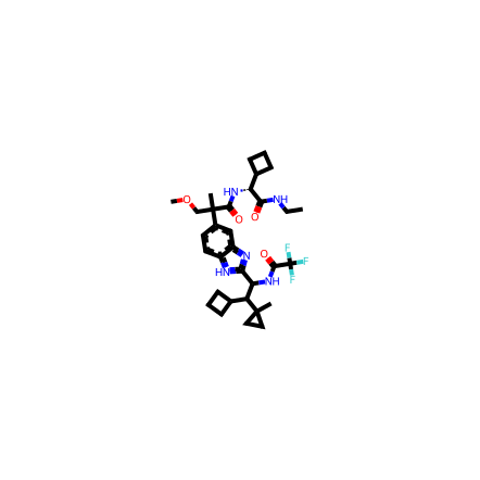 CCNC(=O)[C@H](NC(=O)C(C)(COC)c1ccc2[nH]c(C(NC(=O)C(F)(F)F)C(C3CCC3)C3(C)CC3)nc2c1)C1CCC1